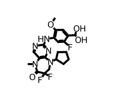 COc1cc(C(O)O)c(F)cc1Nc1ncc2c(n1)N(C1CCCC1)CC(F)(F)C(=O)N2C